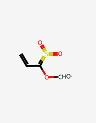 C=CC(O[C]=O)=S(=O)=O